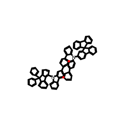 c1ccc(-c2ccc(N(c3ccc4c(c3)C3(c5ccccc5-c5ccccc53)c3ccccc3-4)c3ccccc3-c3ccc(-c4ccc5c6ccccc6n(-c6cccc7c6-c6ccccc6C7(c6ccccc6)c6ccccc6)c5c4)cc3)cc2)cc1